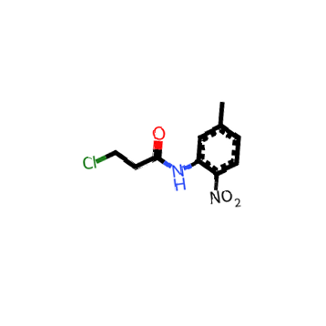 Cc1ccc([N+](=O)[O-])c(NC(=O)CCCl)c1